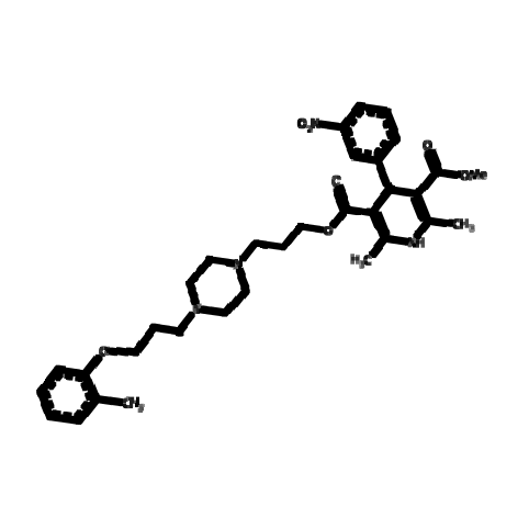 COC(=O)C1=C(C)NC(C)=C(C(=O)OCCCN2CCN(CCCOc3ccccc3C)CC2)C1c1cccc([N+](=O)[O-])c1